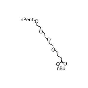 CCCCCOCCOCCOCCOCCCC(=O)OCCCC